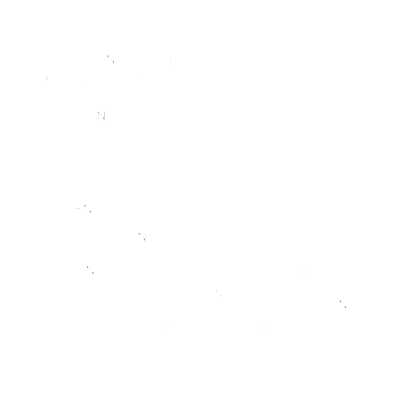 CC1(C)C(=O)NC(=O)N1CCNc1ncc(Br)c(-c2ccc(S(=O)(=O)c3ccccn3)s2)n1